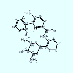 C[C@H]1C[C@@H](c2ccncc2NC(=O)c2ccc(F)c(-c3c(F)cccc3F)n2)C[C@@H](N)[C@H]1F